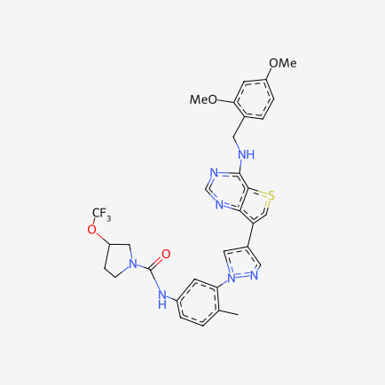 COc1ccc(CNc2ncnc3c(-c4cnn(-c5cc(NC(=O)N6CCC(OC(F)(F)F)C6)ccc5C)c4)csc23)c(OC)c1